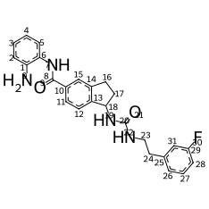 Nc1ccccc1NC(=O)c1ccc2c(c1)CCC2NC(=O)NCCc1cccc(F)c1